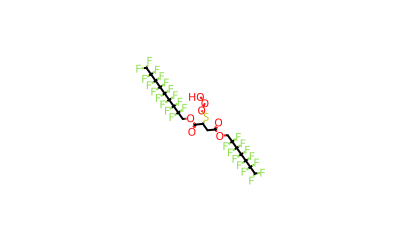 O=C(CC(SOOO)C(=O)OCC(F)(F)C(F)(F)C(F)(F)C(F)(F)C(F)(F)C(F)(F)C(F)(F)C(F)F)OCC(F)(F)C(F)(F)C(F)(F)C(F)(F)C(F)(F)C(F)F